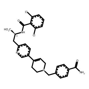 NC(=O)c1ccc(CN2CC=C(c3ccc(C[C@H](NC(=O)c4c(Cl)cccc4Cl)C(=O)O)nc3)CC2)cc1